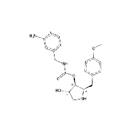 COc1ccc(C[C@H]2NC[C@H](O)[C@H]2OC(=O)NCc2ccnc(N)c2)cc1